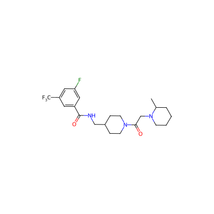 CC1CCCCN1CC(=O)N1CCC(CNC(=O)c2cc(F)cc(C(F)(F)F)c2)CC1